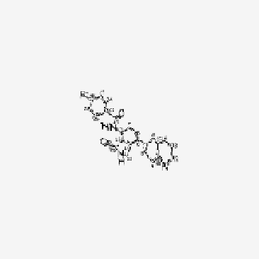 O=C(Nc1ccc(-c2ccc3ncccc3c2)c2c1C(=O)NC2)c1ccc(F)cc1